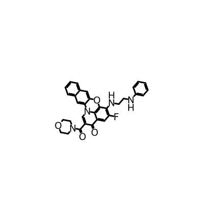 O=C(c1cn2c3c(c(NCCNc4ccccc4)c(F)cc3c1=O)Oc1cc3ccccc3cc1-2)N1CCOCC1